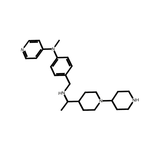 CC(NCc1ccc(N(C)c2ccncc2)cc1)C1CCN(C2CCNCC2)CC1